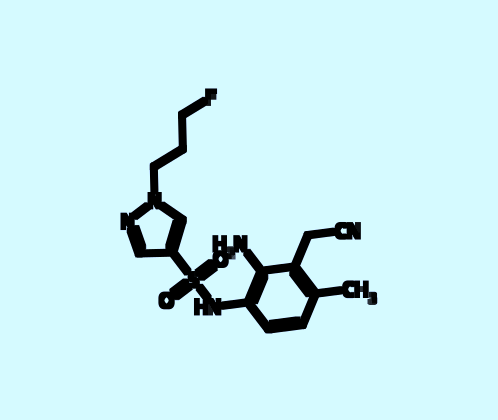 Cc1ccc(NS(=O)(=O)c2cnn(CCCF)c2)c(N)c1CC#N